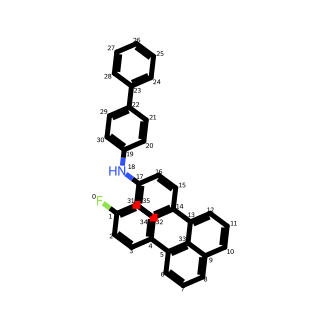 Fc1ccc(-c2cccc3cccc(-c4ccc(Nc5ccc(-c6ccccc6)cc5)cc4)c23)cc1